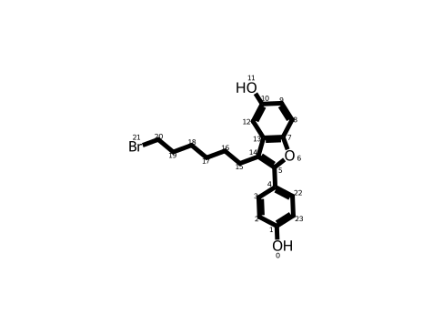 Oc1ccc(-c2oc3ccc(O)cc3c2CCCCCCBr)cc1